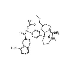 CCCC1CCN(C(N)=O)C(C2(c3ccc(N(CC(=O)O)C(=O)c4ccc5ccnc(N)c5c4)cc3)CCCCN2C(N)=O)C1